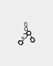 COCOc1ccc(-c2ccccc2)c(CSc2ccccc2)c1C